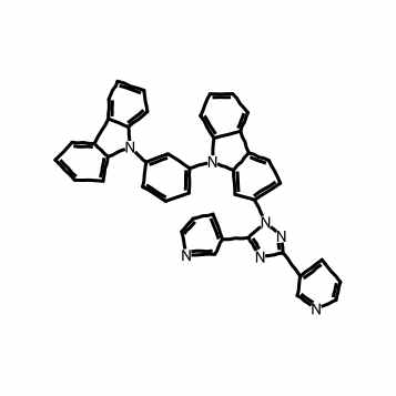 c1cncc(-c2nc(-c3cccnc3)n(-c3ccc4c5ccccc5n(-c5cccc(-n6c7ccccc7c7ccccc76)c5)c4c3)n2)c1